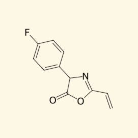 C=CC1=NC(c2ccc(F)cc2)C(=O)O1